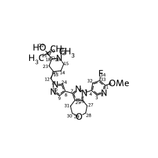 COc1ncc(-n2nc(-c3cnn(C[C@@H]4CCN(C)[C@H](C(C)(C)O)C4)c3)c3c2CCOCC3)cc1F